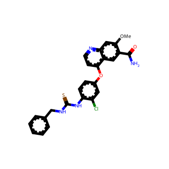 COc1cc2nccc(Oc3ccc(NC(=S)NCc4ccccc4)c(Cl)c3)c2cc1C(N)=O